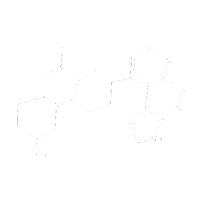 CCC(=O)C1CC(c2ccnc3cnc4[nH]ccc4c23)CCC1N1CCCC(OCC(C)C)C1